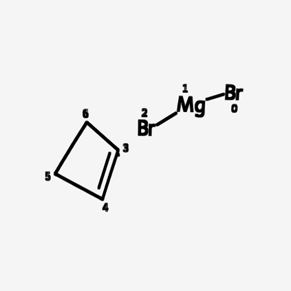 [Br][Mg][Br].[C]1=CCC1